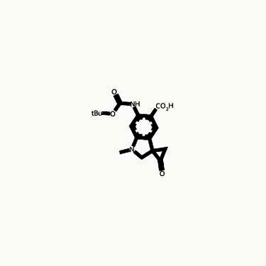 CN1CC2(CC2=O)c2cc(C(=O)O)c(NC(=O)OC(C)(C)C)cc21